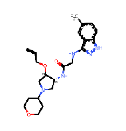 C=CCO[C@@H]1CN(C2CCOCC2)C[C@H]1NC(=O)CNc1n[nH]c2ccc(C(F)(F)F)cc12